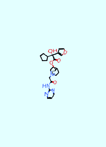 O=C(C[N+]12CCC(CC1)C(OC(=O)[C@](O)(c1ccoc1)C1CCCC1)C2)Nc1ncccn1